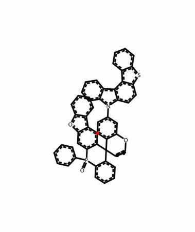 O=P1(c2ccccc2)c2ccccc2C2(c3ccccc3Oc3cc(-n4c5ccccc5c5c6c(ccc54)sc4ccccc46)ccc32)c2cc3c(cc21)oc1ccccc13